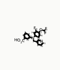 O=C(O)c1cccc(N(Cc2cccnc2)c2ccc(OC(F)F)c(F)c2)c1